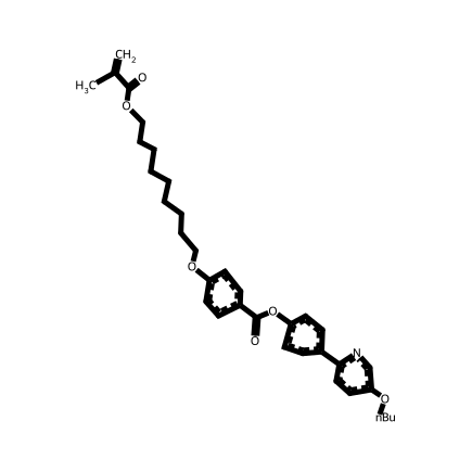 C=C(C)C(=O)OCCCCCCCCCOc1ccc(C(=O)Oc2ccc(-c3ccc(OCCCC)cn3)cc2)cc1